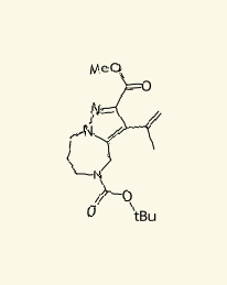 C=C(C)c1c(C(=O)OC)nn2c1CN(C(=O)OC(C)(C)C)CCC2